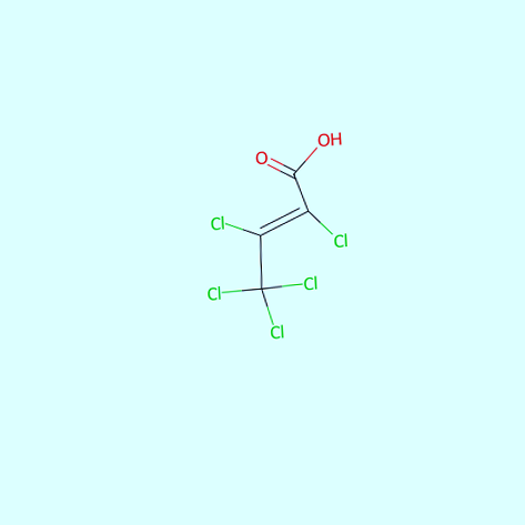 O=C(O)C(Cl)=C(Cl)C(Cl)(Cl)Cl